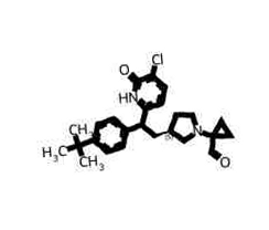 CC(C)(C)c1ccc(C(C[C@H]2CCN(C3(C=O)CC3)C2)c2ccc(Cl)c(=O)[nH]2)cc1